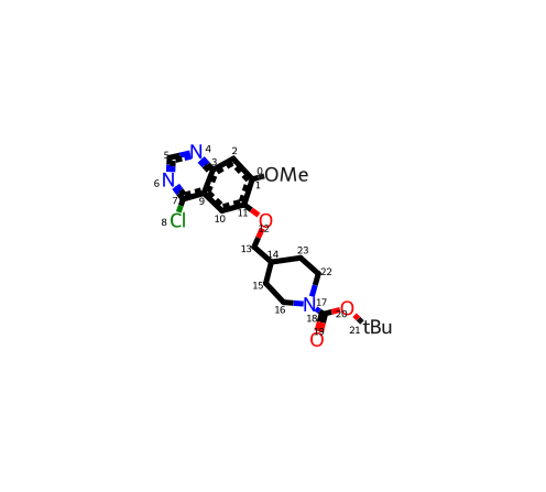 COc1cc2ncnc(Cl)c2cc1OCC1CCN(C(=O)OC(C)(C)C)CC1